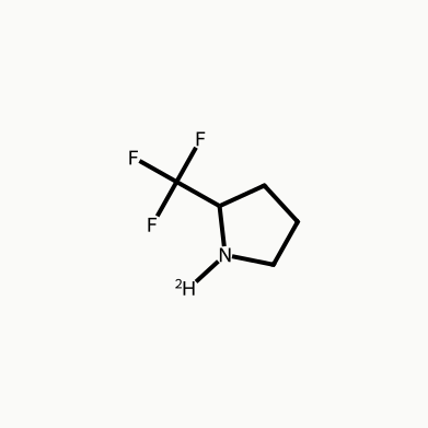 [2H]N1CCCC1C(F)(F)F